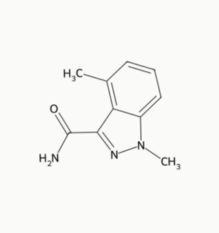 Cc1cccc2c1c(C(N)=O)nn2C